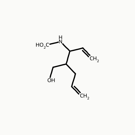 C=CCC(CO)C(C=C)NC(=O)O